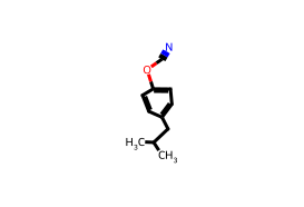 CC(C)Cc1ccc(OC#N)cc1